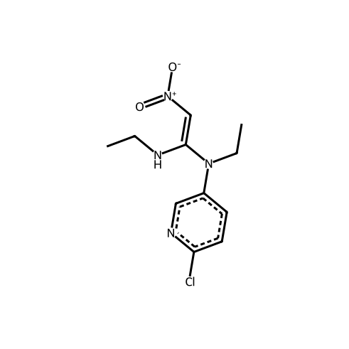 CCNC(=C[N+](=O)[O-])N(CC)c1ccc(Cl)nc1